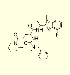 C[C@H](NC(=O)[C@H](CCC(=O)N1CCCC[C@@H]1C)NC(=O)N(C)Cc1ccccc1)c1nc2c(F)cccc2[nH]1